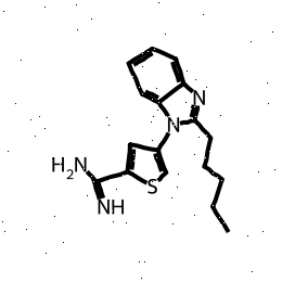 CCCCCc1nc2ccccc2n1-c1csc(C(=N)N)c1